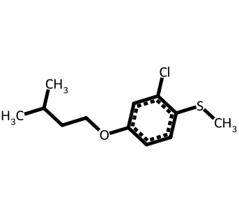 CSc1ccc(OCCC(C)C)cc1Cl